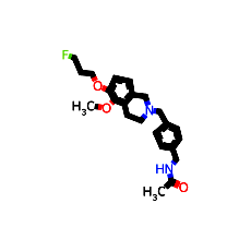 COc1c(OCCCF)ccc2c1CCN(Cc1ccc(CNC(C)=O)cc1)C2